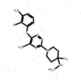 CC1(NC(=O)O)CCN(c2nnc(Sc3cccc(N)c3Cl)c(N)n2)CC1